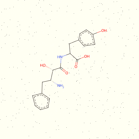 N[C@H](Cc1ccccc1)[C@H](O)C(=O)NC(Cc1ccc(O)cc1)C(=O)O